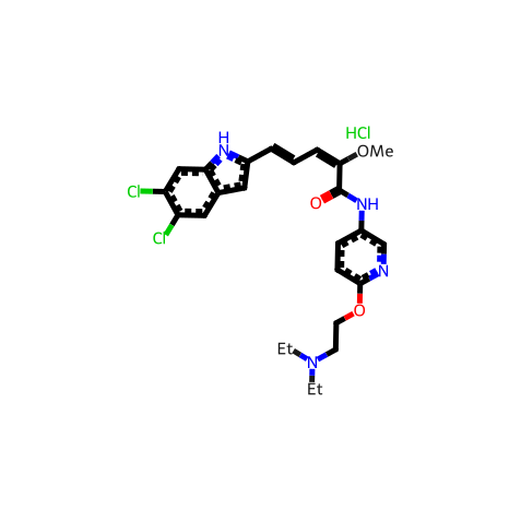 CCN(CC)CCOc1ccc(NC(=O)C(=CC=Cc2cc3cc(Cl)c(Cl)cc3[nH]2)OC)cn1.Cl